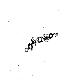 O=S(=O)(c1ccc(CBr)cc1)N1CCN(c2nc(-c3ccc(Cl)c(F)c3)cs2)CC1